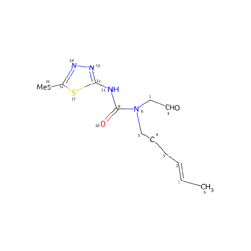 CC=CCCCN(CC=O)C(=O)Nc1nnc(SC)s1